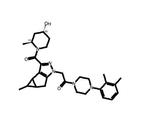 Cc1cccc(N2CCN(C(=O)Cn3nc(C(=O)N4CC[C@@H](O)C[C@@H]4C)c4c3CC3C(C)C43)CC2)c1C